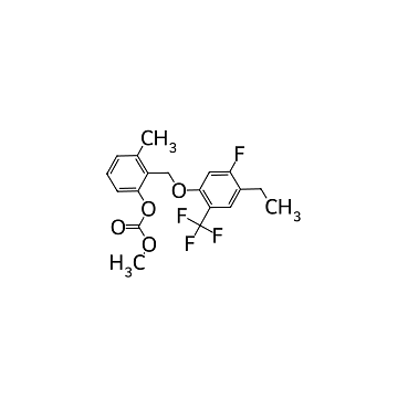 CCc1cc(C(F)(F)F)c(OCc2c(C)cccc2OC(=O)OC)cc1F